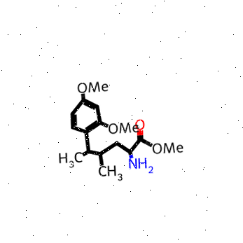 COC(=O)C(N)CC(C)C(C)c1ccc(OC)cc1OC